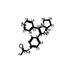 CC(=O)Sc1ccc(-c2nc3n(c2-c2ccncc2)CCC3)cc1